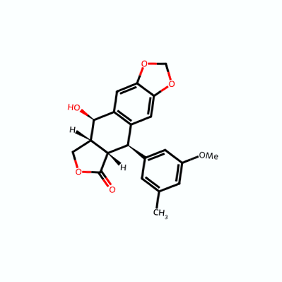 COc1cc(C)cc([C@@H]2c3cc4c(cc3[C@H](O)[C@H]3COC(=O)[C@@H]23)OCO4)c1